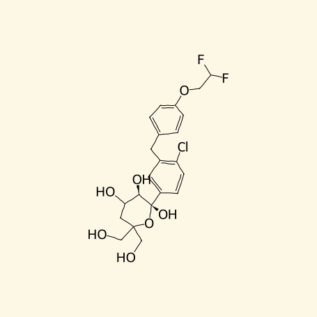 OCC1(CO)CC(O)[C@@H](O)[C@](O)(c2ccc(Cl)c(Cc3ccc(OCC(F)F)cc3)c2)O1